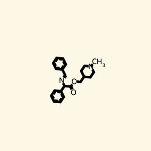 CN1CCC(COC(=O)C(N=Cc2ccccc2)c2ccccc2)CC1